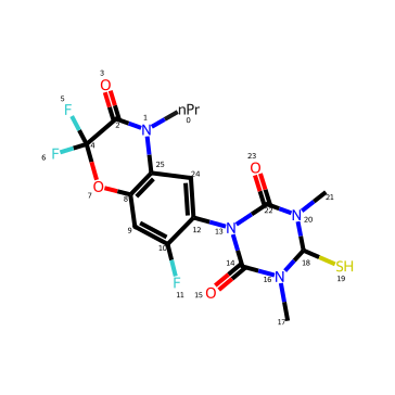 CCCN1C(=O)C(F)(F)Oc2cc(F)c(N3C(=O)N(C)C(S)N(C)C3=O)cc21